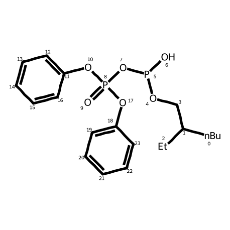 CCCCC(CC)COP(O)OP(=O)(Oc1ccccc1)Oc1ccccc1